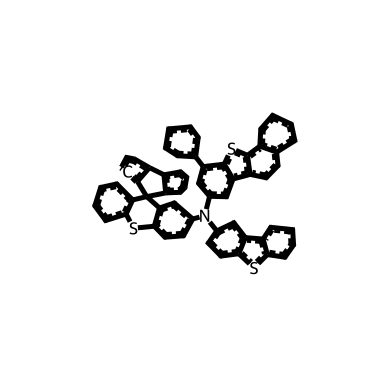 c1ccc(-c2cc(N(c3ccc4c(c3)C3(c5ccccc5S4)c4ccccc4-c4ccccc43)c3ccc4sc5ccccc5c4c3)cc3c2sc2c4ccccc4ccc32)cc1